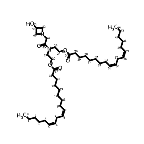 CCCCC/C=C\C/C=C\CCCCCCCC(=O)OCCN(CCOC(=O)CCCCCCC/C=C\C/C=C\CCCCC)C(=O)CN1CC(O)C1